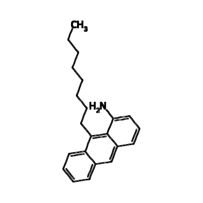 CCCCCCCCc1c2ccccc2cc2cccc(N)c12